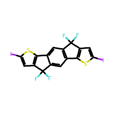 FC1(F)c2cc3c(cc2-c2sc(I)cc21)C(F)(F)c1cc(I)sc1-3